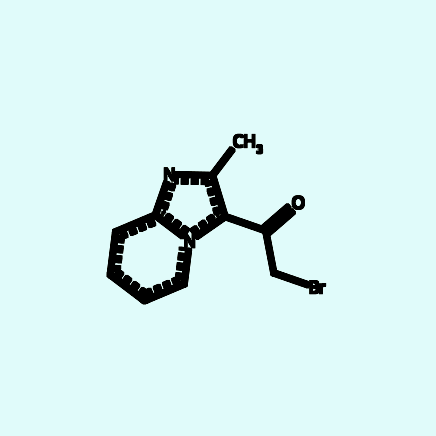 Cc1nc2ccccn2c1C(=O)CBr